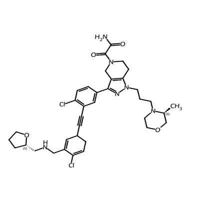 C[C@H]1COCCN1CCCn1nc(-c2ccc(Cl)c(C#CC3C=C(CNC[C@@H]4CCCO4)C(Cl)=CC3)c2)c2c1CCN(C(=O)C(N)=O)C2